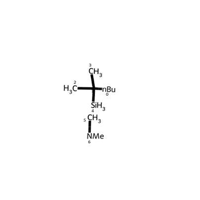 CCCCC(C)(C)[SiH3].CNC